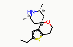 CCc1cc2c(s1)CCO[C@@]21C[C@@H](C)N[C@@H](C)C1